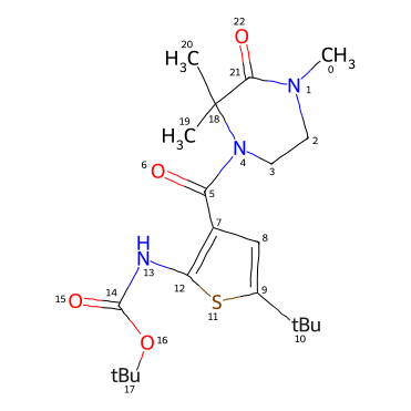 CN1CCN(C(=O)c2cc(C(C)(C)C)sc2NC(=O)OC(C)(C)C)C(C)(C)C1=O